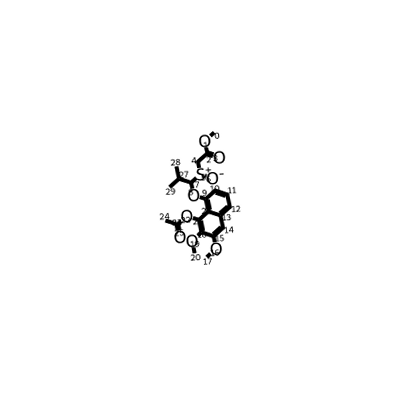 COC(=O)C[S+]([O-])C(Oc1cccc2cc(OC)c(OC)c(OC(C)=O)c12)C(C)C